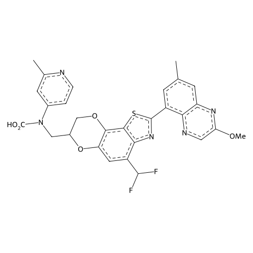 COc1cnc2c(-c3nc4c(C(F)F)cc5c(c4s3)OCC(CN(C(=O)O)c3ccnc(C)c3)O5)cc(C)cc2n1